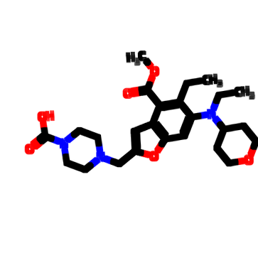 CCc1c(N(CC)C2CCOCC2)cc2oc(CN3CCN(C(=O)O)CC3)cc2c1C(=O)OC